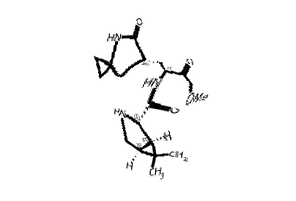 COC(=O)[C@H](C[C@@H]1CC2(CC2)NC1=O)NC(=O)[C@H]1NC[C@H]2[C@@H]1C2(C)C